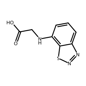 O=C(O)CNc1cccc2nnsc12